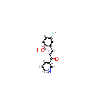 O=C(/C=C/c1cc(F)ccc1O)c1cccnc1